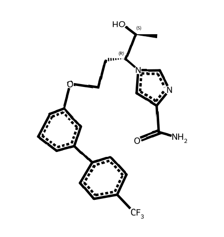 C[C@H](O)[C@@H](CCOc1cccc(-c2ccc(C(F)(F)F)cc2)c1)n1cnc(C(N)=O)c1